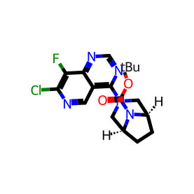 CC(C)(C)OC(=O)N1[C@@H]2CC[C@H]1CN(c1ncnc3c(F)c(Cl)ncc13)C2